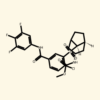 COC(=O)N[C@@H]1CC2CC[C@@H](C1)[C@H]2S(=O)(=O)c1cc(C(=O)Nc2cc(F)c(F)c(F)c2)ccc1Cl